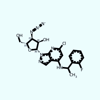 CC(Nc1cc(Cl)nc2c1cnn2[C@@H]1O[C@H](CO)[C@@H](N=[N+]=[N-])[C@H]1O)c1ccccc1F